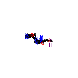 Cc1cc(Nc2ncnc3ccc(NC(=O)C#CCCOPI)cc23)ccc1Oc1ccn2ncnc2c1